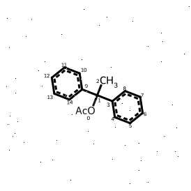 CC(=O)OC(C)(c1ccccc1)c1ccccc1